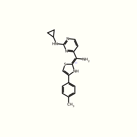 Cc1ccc(C2=CS/C(=C(/N)c3ccnc(NC4CC4)n3)N2)cc1